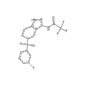 O=C(Nc1n[nH]c2ccc(S(=O)(=O)c3cccc(F)c3)cc12)C(F)(F)F